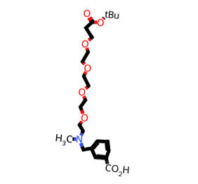 CN(CCOCCOCCOCCOCCC(=O)OC(C)(C)C)Cc1cccc(C(=O)O)c1